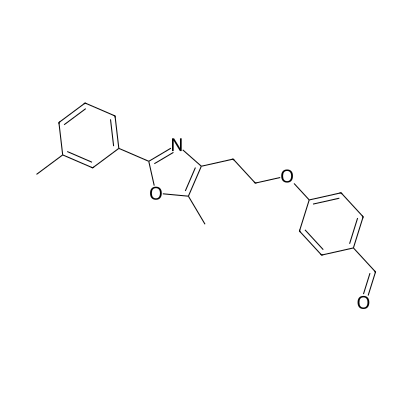 Cc1cccc(-c2nc(CCOc3ccc(C=O)cc3)c(C)o2)c1